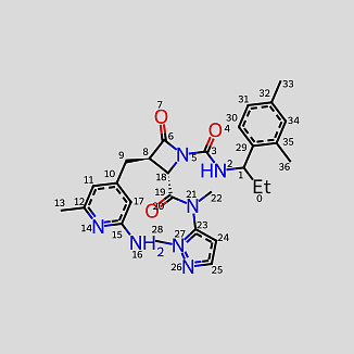 CCC(NC(=O)N1C(=O)[C@H](Cc2cc(C)nc(N)c2)[C@H]1C(=O)N(C)c1ccnn1C)c1ccc(C)cc1C